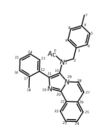 CC(=O)N(Cc1ccc(C)cc1)c1c(-c2ccccc2C)nc2c3ccccc3ccn12